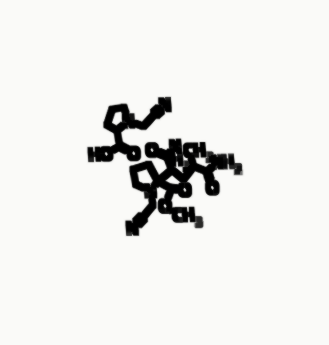 COC(=O)C1(C(CC(C)C(N)=O)C(N)=O)CCCN1CC#N.N#CCN1CCCC1C(=O)O